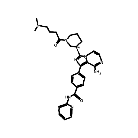 CN(C)CCCC(=O)N1CCC[C@@H](c2nc(-c3ccc(C(=O)Nc4ccccn4)cc3)c3c(N)nccn23)C1